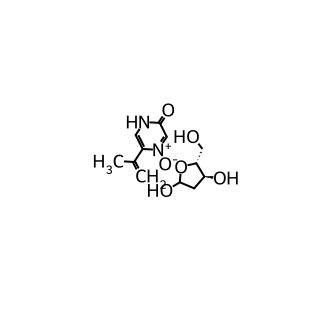 C=C(C)c1c[nH]c(=O)c[n+]1[O-].OC[C@H]1OC(O)C[C@@H]1O